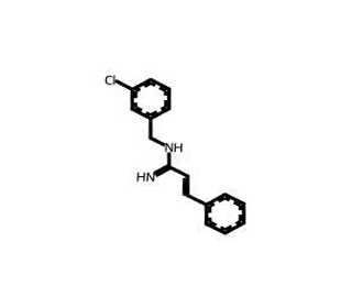 N=C(/C=C/c1ccccc1)NCc1cccc(Cl)c1